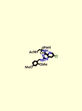 CCCCCC(C)(CNC(C)=O)Nc1nc(NCc2ccc(OC)cc2OC)nc2cc(Cl)cnc12